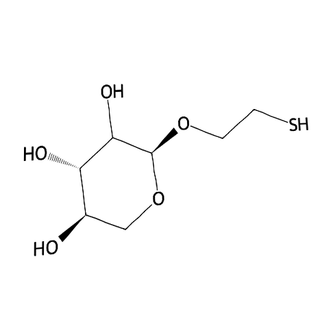 OC1[C@@H](OCCS)OC[C@@H](O)[C@@H]1O